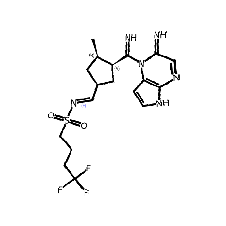 C[C@@H]1CC(/C=N/S(=O)(=O)CCCC(F)(F)F)C[C@@H]1C(=N)n1c(=N)cnc2[nH]ccc21